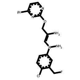 CC(C)c1ccnc(OC/C(N)=C/N(N)c2ccc(Cl)c(CF)c2)n1